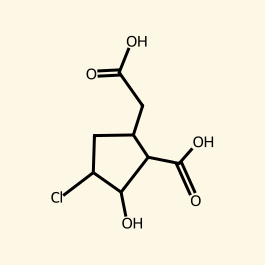 O=C(O)CC1CC(Cl)C(O)C1C(=O)O